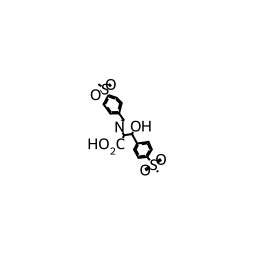 CS(=O)(=O)c1ccc(C=NC(C(=O)O)C(O)c2ccc(S(C)(=O)=O)cc2)cc1